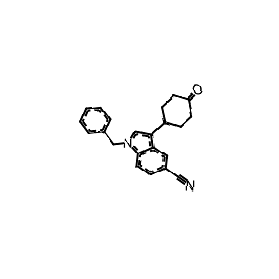 N#Cc1ccc2c(c1)c(C1CCC(=O)CC1)cn2Cc1ccccc1